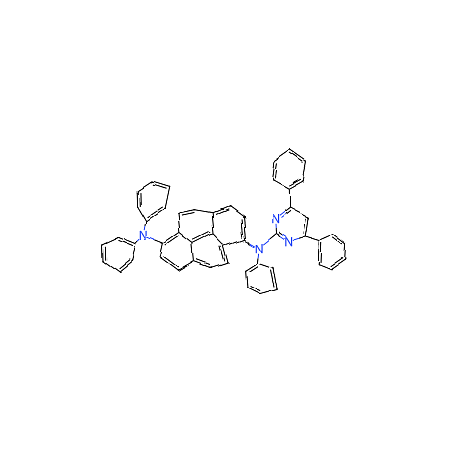 c1ccc(-c2cc(-c3ccccc3)nc(N(c3ccccc3)c3ccc4ccc5c(N(c6ccccc6)c6ccccc6)ccc6ccc3c4c65)n2)cc1